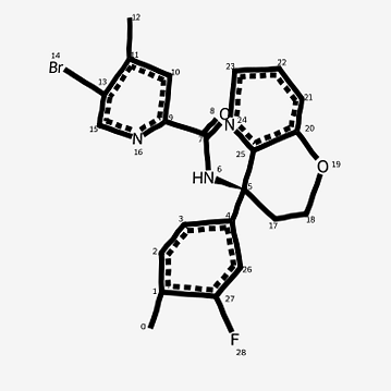 Cc1ccc([C@@]2(NC(=O)c3cc(C)c(Br)cn3)CCOc3cccnc32)cc1F